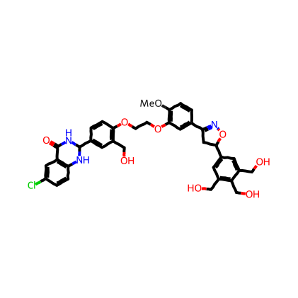 COc1ccc(C2=NOC(c3cc(CO)c(CO)c(CO)c3)C2)cc1OCCOc1ccc(C2NC(=O)c3cc(Cl)ccc3N2)cc1CO